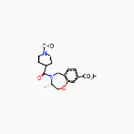 C[C@H]1COc2cc(C(=O)O)ccc2CN1C(=O)C1CCN(C=O)CC1